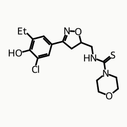 CCc1cc(C2=NOC(CNC(=S)N3CCOCC3)C2)cc(Cl)c1O